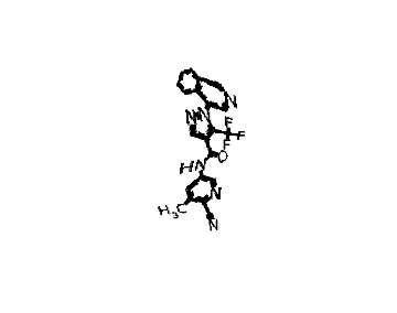 Cc1cc(NC(=O)c2cnn(-c3cncc4ccccc34)c2C(F)(F)F)cnc1C#N